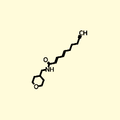 C#CCCCC=CC=CC(=O)NCC1CCOCC1